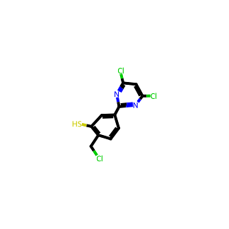 Sc1cc(-c2nc(Cl)cc(Cl)n2)ccc1CCl